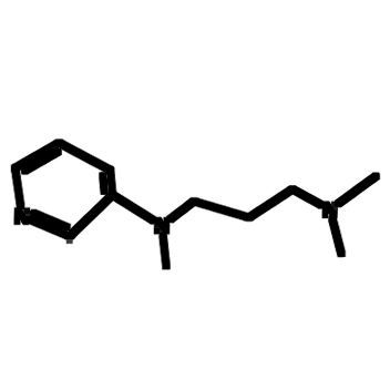 CN(C)CCCN(C)c1[c]nccc1